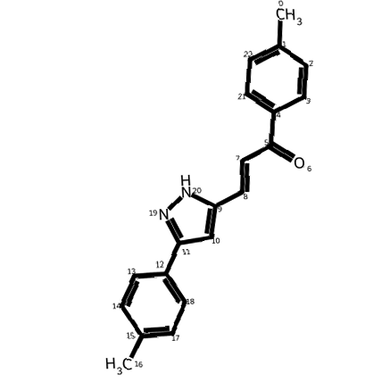 Cc1ccc(C(=O)/C=C/c2cc(-c3ccc(C)cc3)n[nH]2)cc1